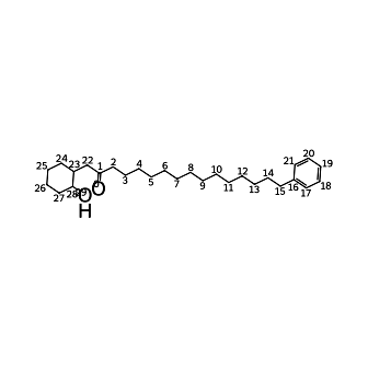 O=C(CCCCCCCCCCCCCCc1ccccc1)CC1CCCCC1O